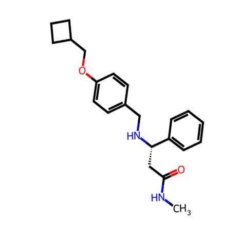 CNC(=O)C[C@H](NCc1ccc(OCC2CCC2)cc1)c1ccccc1